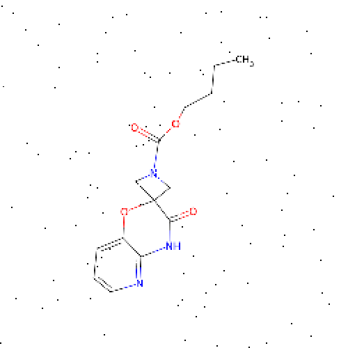 CCCCOC(=O)N1CC2(C1)Oc1cccnc1NC2=O